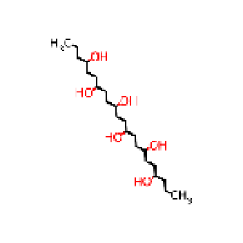 CCCC(O)CCC(O)CCC(O)CCC(O)CCC(O)CCC(O)CCC